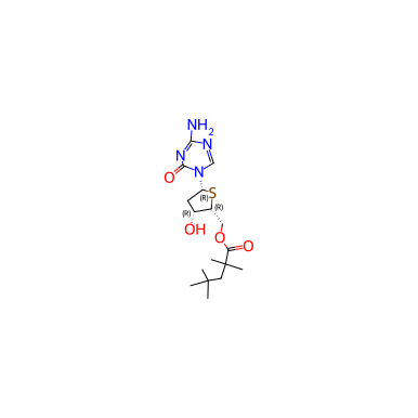 CC(C)(C)CC(C)(C)C(=O)OC[C@H]1S[C@@H](n2cnc(N)nc2=O)C[C@H]1O